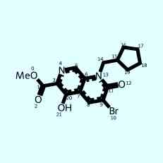 COC(=O)c1ncc2c(cc(Br)c(=O)n2CC2CCCC2)c1O